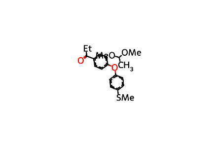 CCC(=O)c1ccc(Oc2ccc(SC)cc2)cc1.COC(C)OC